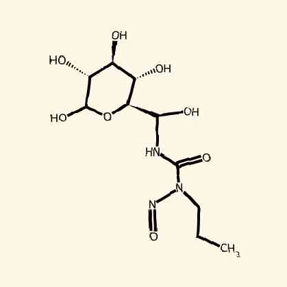 CCCN(N=O)C(=O)NC(O)[C@H]1OC(O)[C@H](O)[C@@H](O)[C@@H]1O